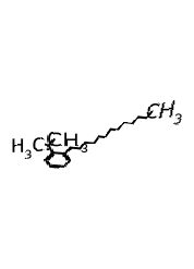 CCCCCCCCCCCCCc1ccccc1[C](C)C